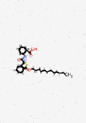 CCCCCCCCCCCCOc1sc(C(=O)Nc2ccccc2C(=O)O)c2ccccc12